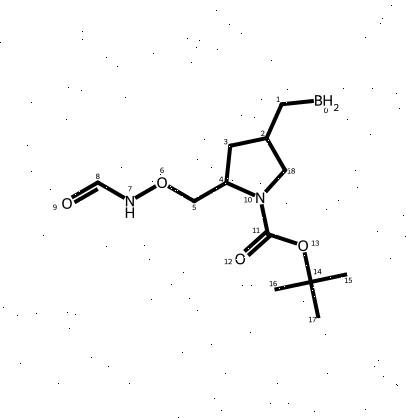 BCC1CC(CONC=O)N(C(=O)OC(C)(C)C)C1